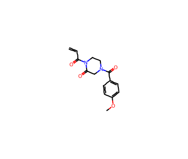 C=CC(=O)N1CCN(C(=O)c2ccc(OC)cc2)CC1=O